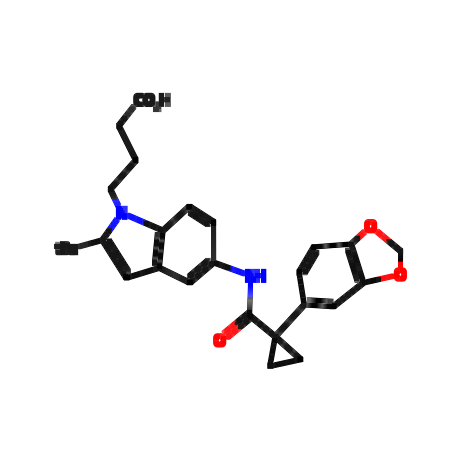 CC(C)(C)c1cc2cc(NC(=O)C3(c4ccc5c(c4)OCO5)CC3)ccc2n1CCCC(=O)O